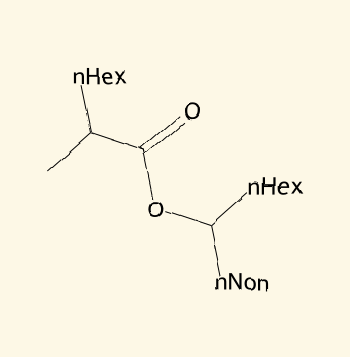 CCCCCCCCCC(CCCCCC)OC(=O)C(C)CCCCCC